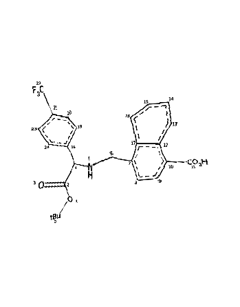 CC(C)(C)OC(=O)C(NCc1ccc(C(=O)O)c2ccccc12)c1ccc(C(F)(F)F)cc1